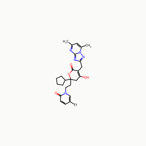 CCc1ccc(=O)n(CCC2(C3CCCC3)CC(O)=C(Cc3nc4nc(C)cc(C)n4n3)C(=O)O2)c1